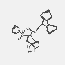 O=C(OCC1c2ccccc2-c2ccccc21)N1C2=CCN(O)[C@@H]2CC1S(=O)(=O)c1ccccc1